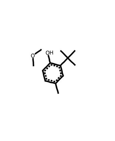 COC.Cc1ccc(O)c(C(C)(C)C)c1